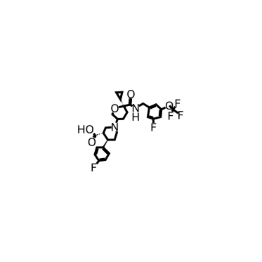 O=C(O)[C@@H]1CN(C2CC[C@@](C(=O)NCc3cc(F)cc(OC(F)(F)F)c3)(C3CC3)OC2)CC[C@H]1c1ccc(F)cc1